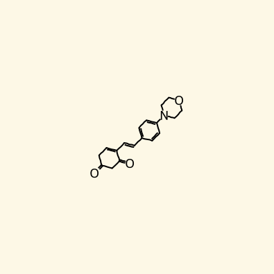 O=C1CC=C(C=Cc2ccc(N3CCOCC3)cc2)C(=O)C1